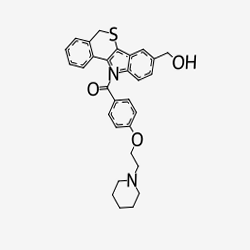 O=C(c1ccc(OCCN2CCCCC2)cc1)n1c2c(c3cc(CO)ccc31)SCc1ccccc1-2